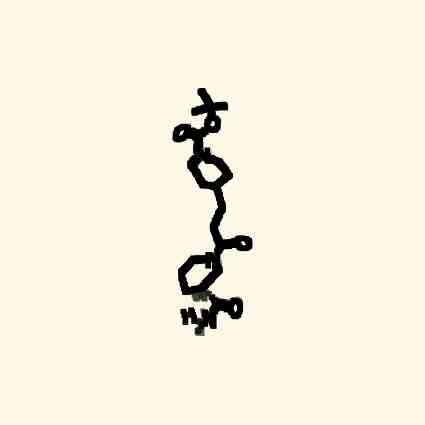 CC(C)(C)OC(=O)N1CCC(CCC(=O)N2CCC[C@@H](C(N)=O)C2)CC1